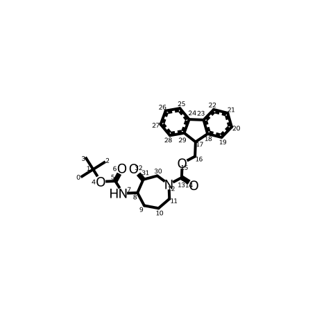 CC(C)(C)OC(=O)NC1CCCN(C(=O)OCC2c3ccccc3-c3ccccc32)CC1=O